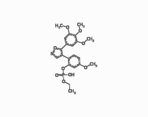 CCOP(=O)(O)Oc1cc(OC)ccc1-c1cnoc1-c1cc(OC)c(OC)c(OC)c1